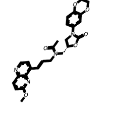 COc1ccc2nccc(C=CCN(C[C@@H]3CN(c4ccc5c(c4)OCCO5)C(=O)O3)C(C)=O)c2n1